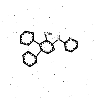 COc1c(Nc2ccccn2)ccc(-c2ccccc2)c1-c1ccccc1